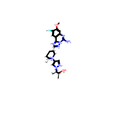 COc1cc2nc(N)n3nc([C@H]4CC[C@@H](C)N(c5cnn([C@H](C)[C@H](C)O)c5)C4)nc3c2cc1F